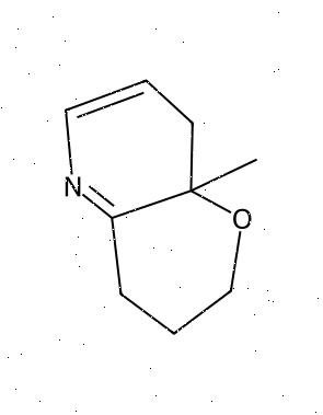 CC12CC=CN=C1CCCO2